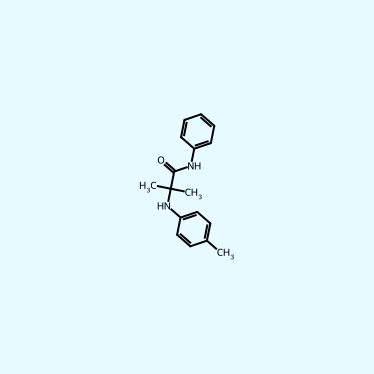 Cc1ccc(NC(C)(C)C(=O)Nc2ccccc2)cc1